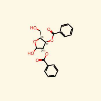 O=C(O[C@H]1[C@H](OC(=O)c2ccccc2)C(O)O[C@@H]1CO)c1ccccc1